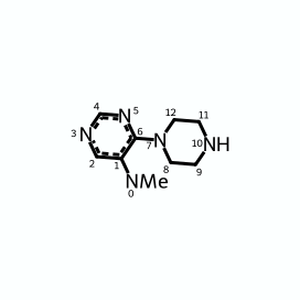 CNc1cncnc1N1CCNCC1